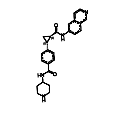 O=C(NC1CCNCC1)c1ccc([C@@H]2C[C@H]2C(=O)Nc2ccc3cnccc3c2)cc1